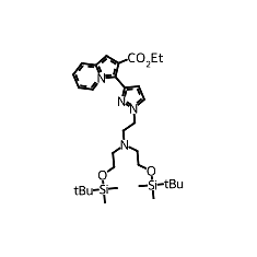 CCOC(=O)c1cc2ccccn2c1-c1ccn(CCN(CCO[Si](C)(C)C(C)(C)C)CCO[Si](C)(C)C(C)(C)C)n1